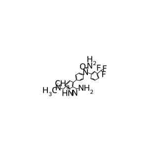 CN(C)Cc1ccc(-c2ccc(N(C(N)=O)c3cccc(C(F)(F)F)c3)cc2)c2c(N)n[nH]c12